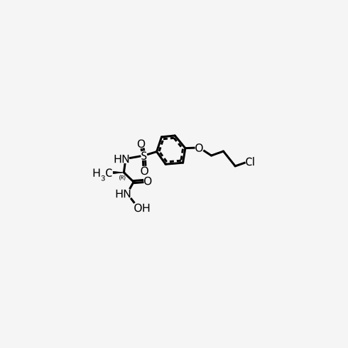 C[C@@H](NS(=O)(=O)c1ccc(OCCCCl)cc1)C(=O)NO